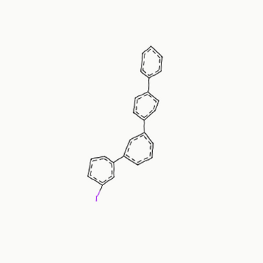 Ic1cccc(-c2cccc(-c3ccc(-c4ccccc4)cc3)c2)c1